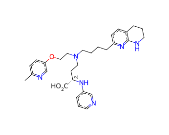 Cc1ccc(OCCN(CCCCc2ccc3c(n2)NCCC3)CC[C@H](Nc2cccnc2)C(=O)O)cn1